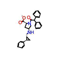 COC(=O)[C@@H]1C[C@H](NC[C@@H]2C[C@H]2c2ccccc2)CN1C(=O)C(c1ccccc1)c1ccccc1